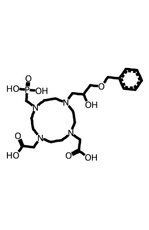 O=C(O)CN1CCN(CC(=O)O)CCN(CP(=O)(O)O)CCN(CC(O)COCc2ccccc2)CC1